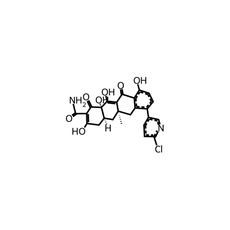 C[C@@]12Cc3c(-c4ccc(Cl)nc4)ccc(O)c3C(=O)C1=C(O)[C@]1(O)C(=O)C(C(N)=O)=C(O)C[C@@H]1C2